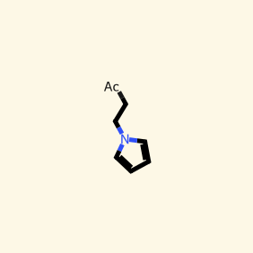 CC(=O)CCn1cccc1